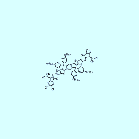 CCCCCCc1ccc(C2(c3ccc(CCCCCC)cc3)c3cc4c(cc3-c3sc5cc(/C=C6\C(=O)c7cscc7C6=C(C#N)C#N)sc5c32)C(c2ccc(CCCCCC)cc2)(c2ccc(CCCCCC)cc2)c2c-4sc3cc(/C=C4\C(=O)c5cc(Cl)c(Cl)cc5C4=C(C#N)C#N)sc23)cc1